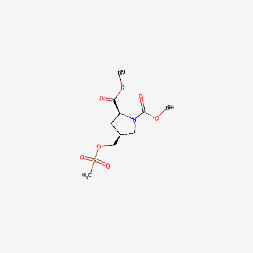 CC(C)(C)OC(=O)[C@@H]1C[C@H](COS(C)(=O)=O)CN1C(=O)OC(C)(C)C